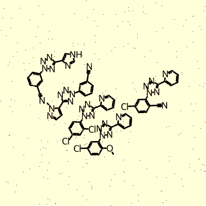 COc1ccc(Cl)cc1-n1nnc(-c2ccccn2)n1.Clc1ccc(-n2nnc(-c3ccccn3)n2)c(Cl)c1.Cn1nccc1-c1nnn(-c2cccc(C#N)c2)n1.N#Cc1ccc(Cl)cc1-n1nnc(-c2ccccn2)n1.N#Cc1cccc(-n2nnc(-c3c[nH]cn3)n2)c1